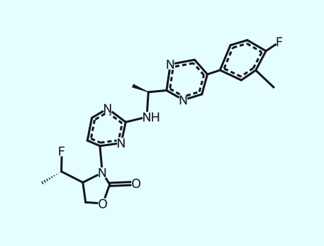 Cc1cc(-c2cnc([C@H](C)Nc3nccc(N4C(=O)OCC4[C@H](C)F)n3)nc2)ccc1F